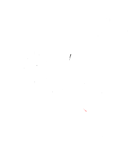 CC(=O)O[C@@H]1[C@@H](C)[C@@H]2O[C@H](CCO[Si](C)(C)C(C)(C)C)C(O[Si](C)(C)C(C)(C)C)C[C@@H]2O[C@H]1CCO